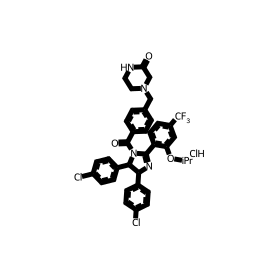 CC(C)Oc1cc(C(F)(F)F)ccc1C1=NC(c2ccc(Cl)cc2)C(c2ccc(Cl)cc2)N1C(=O)c1ccc(CN2CCNC(=O)C2)cc1.Cl